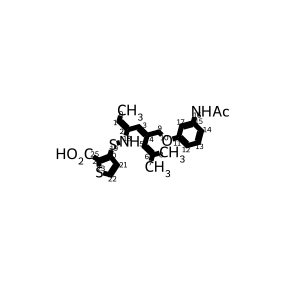 C/C=C(\C=C(/C=C(C)C)COc1cccc(NC(C)=O)c1)NSc1ccsc1C(=O)O